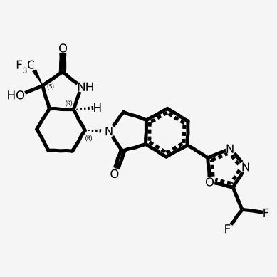 O=C1c2cc(-c3nnc(C(F)F)o3)ccc2CN1[C@@H]1CCCC2[C@H]1NC(=O)[C@]2(O)C(F)(F)F